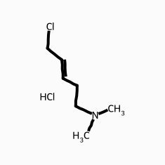 CN(C)CCC=CCCl.Cl